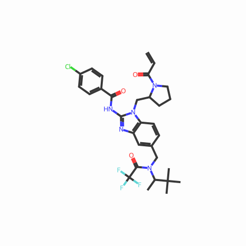 C=CC(=O)N1CCCC1Cn1c(NC(=O)c2ccc(Cl)cc2)nc2cc(CN(C(=O)C(F)(F)F)C(C)C(C)(C)C)ccc21